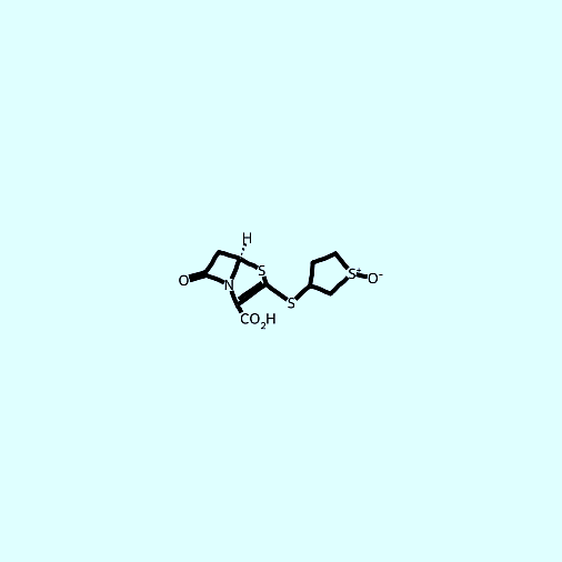 O=C(O)C1=C(SC2CC[S+]([O-])C2)S[C@@H]2CC(=O)N12